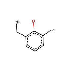 CC(C)c1cccc(CC(C)(C)C)c1[O]